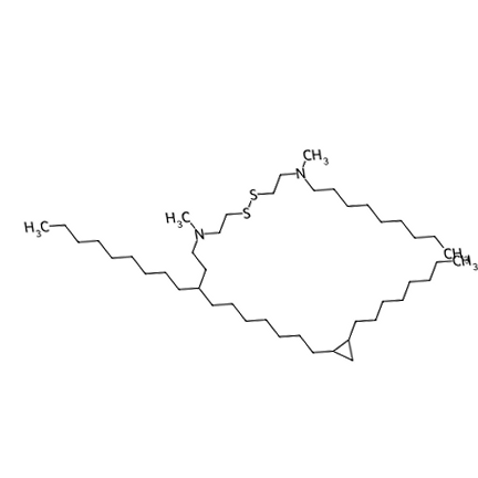 CCCCCCCCCC(CCCCCCCC1CC1CCCCCCCC)CCN(C)CCSSCCN(C)CCCCCCCCC